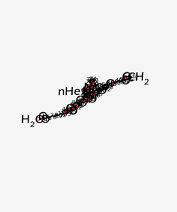 C=CC(=O)OCCCCCCCCc1ccc(OC(=O)[C@H]2CC[C@H](C(=O)Oc3ccc(OC(=O)C4CCC(C(=O)Oc5ccc(OCCCCCCOC(=O)C=C)cc5)CC4)c(/C=N/N(CCCCCC)c4nc5c(ccc6ccccc65)s4)c3)CC2)cc1